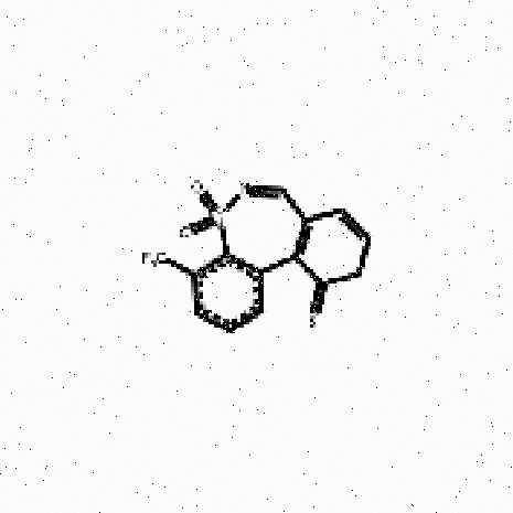 O=S1(=O)N=CC2=C(C(=S)CC=C2)c2cccc(C(F)(F)F)c21